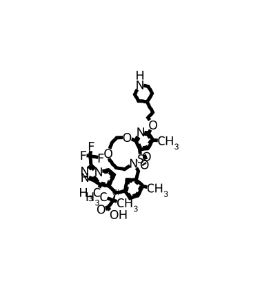 Cc1ccc([C@H](c2ccn3c(C(F)(F)F)nnc3c2C)C(C)(C)C(=O)O)cc1CN1CCCOCCOc2nc(OCCC3CCNCC3)c(C)cc2S1(=O)=O